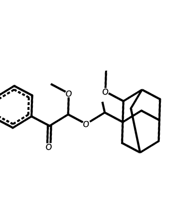 COC(OC(C)C12CC3CC(CC(C3)C1OC)C2)C(=O)c1ccccc1